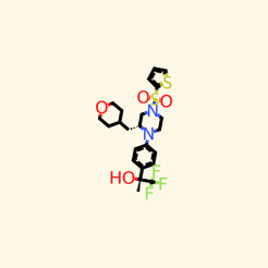 C[C@@](O)(c1ccc(N2CCN(S(=O)(=O)c3cccs3)C[C@H]2CC2CCOCC2)cc1)C(F)(F)F